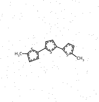 Cc1c[c]c(-c2ccc(-c3ccc(C)s3)s2)s1